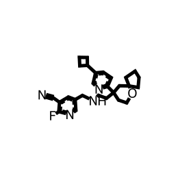 N#Cc1cc(CNCCC2(c3ccc(C4CCC4)cn3)CCOC3(CCCC3)C2)cnc1F